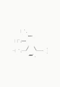 N=C(C(N)=O)c1cc(C2CC2)ncc1N